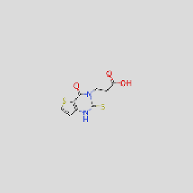 O=C(O)CCn1c(=S)[nH]c2ccsc2c1=O